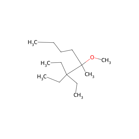 CCCCC(C)(OC)C(CC)(CC)CC